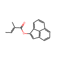 CC=C(C)C(=O)OC1=Cc2cccc3cccc1c23